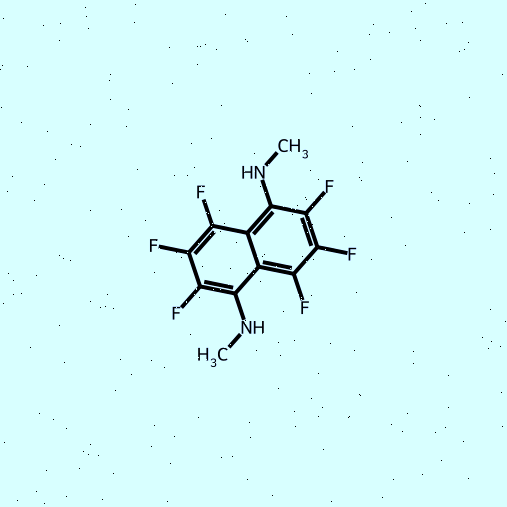 CNc1c(F)c(F)c(F)c2c(NC)c(F)c(F)c(F)c12